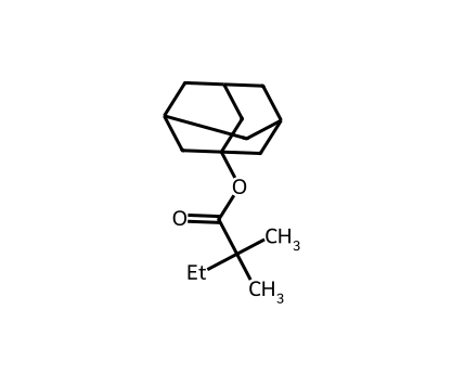 CCC(C)(C)C(=O)OC12CC3CC(CC(C3)C1)C2